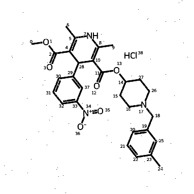 COC(=O)C1=C(C)NC(C)=C(C(=O)OC2CCN(Cc3cccc(C)c3)CC2)C1c1cccc([N+](=O)[O-])c1.Cl